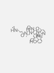 Cc1ccnc(C(C)C)c1-n1c(=O)c2c(c3cc(Cl)c(-c4c(O)cccc4F)nc31)N1C[C@@H](C)N(C(=O)/C=C/CNC3CC3)C[C@@H]1C(=O)N2C